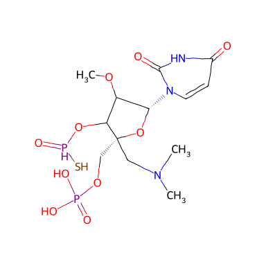 COC1C(O[PH](=O)S)[C@](COP(=O)(O)O)(CN(C)C)O[C@H]1n1ccc(=O)[nH]c1=O